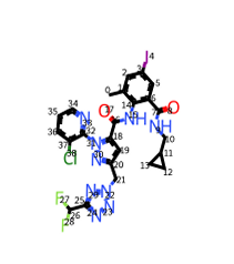 Cc1cc(I)cc(C(=O)NCC2CC2)c1NC(=O)c1cc(Cn2nnc(C(F)F)n2)nn1-c1ncccc1Cl